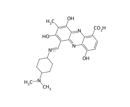 Cc1c(O)c(/C=N/C2CCC(N(C)C)CC2)c2nc3c(O)ccc(C(=O)O)c3nc2c1O